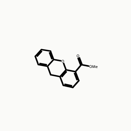 COC(=O)c1cccc2c1Oc1ccccc1C2